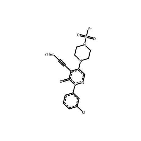 CCCCCCC#Cc1c(N2CCN(S(=O)(=O)C(C)C)CC2)cnn(-c2cccc(Cl)c2)c1=O